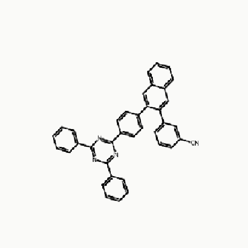 N#Cc1cccc(-c2cc3ccccc3cc2-c2ccc(-c3nc(-c4ccccc4)nc(-c4ccccc4)n3)cc2)c1